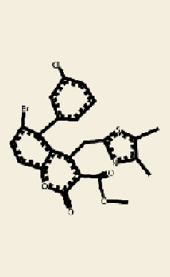 COC(=O)c1c(Cc2nc(C)c(C)s2)c2c(-c3cccc(Cl)c3)c(Br)ccc2oc1=O